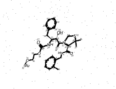 Cc1ccccc1CNC(=O)[C@H]1N(C(=O)[C@@H](O)[C@H](Cc2ccccc2)NC(=O)OCCOC(C)(C)C)CSC1(C)C